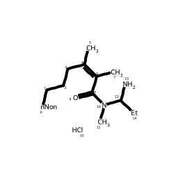 CCCCCCCCCCCCC(C)=C(C)C(=O)N(C)C(N)CC.Cl